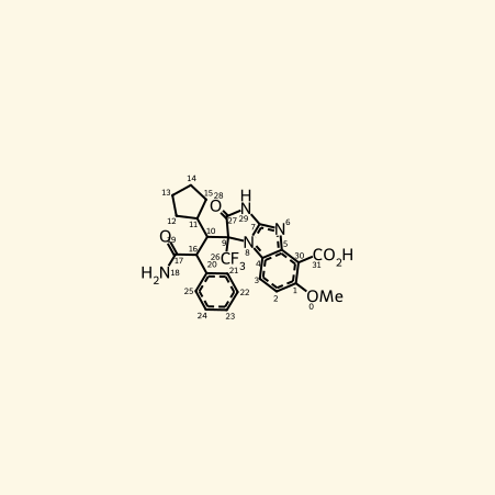 COc1ccc2c(nc3n2C(C(C2CCCC2)C(C(N)=O)c2ccccc2)(C(F)(F)F)C(=O)N3)c1C(=O)O